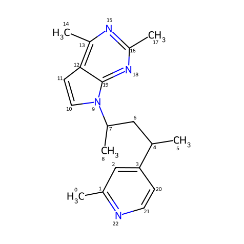 Cc1cc(C(C)CC(C)n2ccc3c(C)nc(C)nc32)ccn1